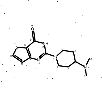 CN(C)C1CCN(c2nc3ccsc3c(=O)[nH]2)CC1